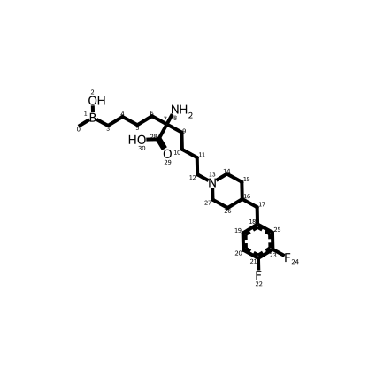 CB(O)CCCCC(N)(CCCCN1CCC(Cc2ccc(F)c(F)c2)CC1)C(=O)O